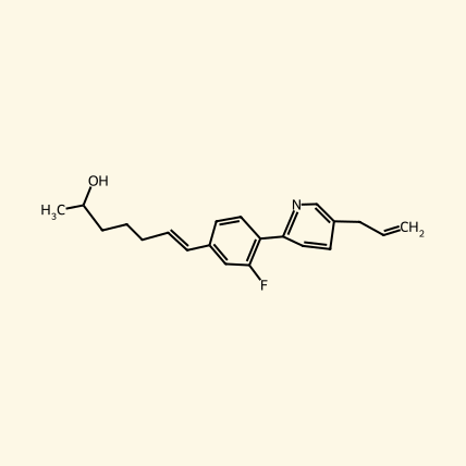 C=CCc1ccc(-c2ccc(/C=C/CCCC(C)O)cc2F)nc1